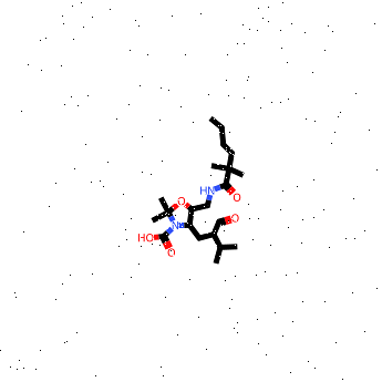 CCCCC(C)(C)C(=O)NCC1OC(C)(C)N(C(=O)O)C1CC(C=O)C(C)C